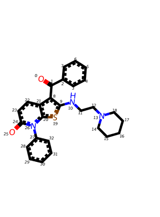 O=C(c1ccccc1)c1c(NCCN2CCCCC2)sc2c1ccc(=O)n2-c1ccccc1